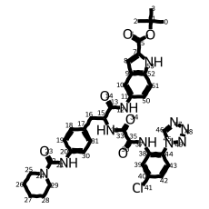 CC(C)(C)OC(=O)c1cc2cc(NC(=O)C(Cc3ccc(NC(=O)N4CCCCC4)cc3)NC(=O)C(=O)Nc3cc(Cl)ccc3-n3cnnn3)ccc2[nH]1